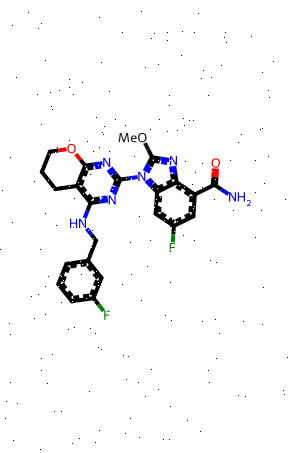 COc1nc2c(C(N)=O)cc(F)cc2n1-c1nc(NCc2cccc(F)c2)c2c(n1)OCCC2